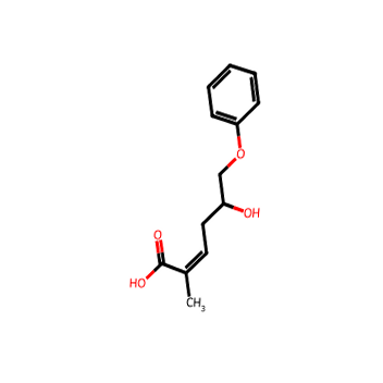 CC(=CCC(O)COc1ccccc1)C(=O)O